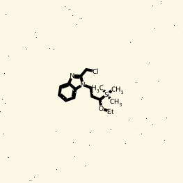 CCOC(CCn1c(CCl)nc2ccccc21)[Si](C)(C)C